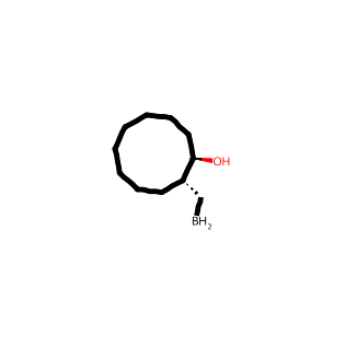 BC[C@@H]1CCCCCCCC[C@H]1O